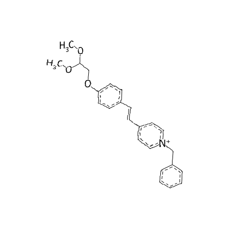 COC(COc1ccc(/C=C/c2cc[n+](Cc3ccccc3)cc2)cc1)OC